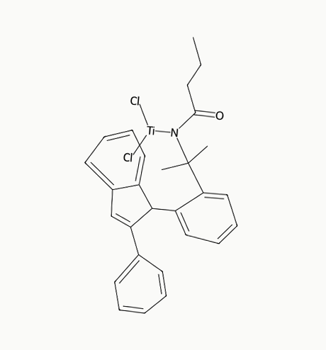 CCCC(=O)[N]([Ti]([Cl])[Cl])C(C)(C)c1ccccc1C1C(c2ccccc2)=Cc2ccccc21